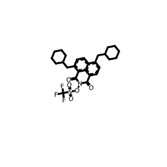 O=C1c2ccc(CC3CCCCC3)c3ccc(CC4CCCCC4)c(c23)C(=O)N1OS(=O)(=O)C(F)(F)F